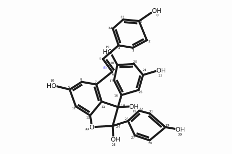 Oc1ccc(/C=C/c2cc(O)cc3c2C(O)(c2cc(O)cc(O)c2)C(O)(c2ccc(O)cc2)O3)cc1